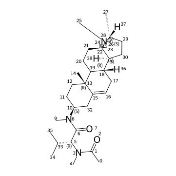 CC(=O)N(C)[C@@H](C(=O)N(C)[C@H]1CC[C@@]2(C)C(=CC[C@@H]3C2CC[C@]24CN(C)[C@@H](C)[C@H]2CC[C@@H]34)C1)C(C)C